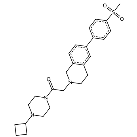 CS(=O)(=O)c1ccc(-c2ccc3c(c2)CCN(CC(=O)N2CCN(C4CCC4)CC2)C3)cc1